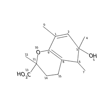 CC1=CC(C)(O)C(C)C2=C1OC(C)(C(=O)O)CC2